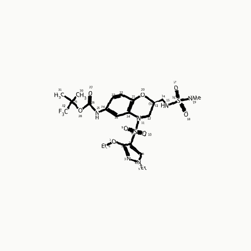 CCOc1nn(CC)cc1S(=O)(=O)N1C[C@H](CNS(=O)(=O)NC)Oc2ccc(NC(=O)OC(C)(C)C(F)(F)F)cc21